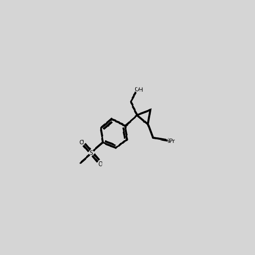 CC(C)CC1CC1(CO)c1ccc(S(C)(=O)=O)cc1